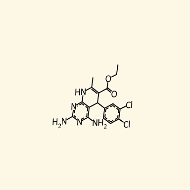 CCOC(=O)C1=C(C)Nc2nc(N)nc(N)c2C1c1ccc(Cl)c(Cl)c1